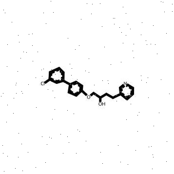 OC(CCc1cccnc1)COc1ccc(-c2cccc(Cl)c2)cc1